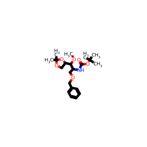 COC(C(COCc1ccccc1)NC(=O)OC(C)(C)C)C1COC(C)(C)O1